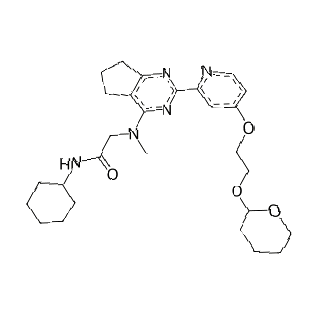 CN(CC(=O)NC1CCCCC1)c1nc(-c2cc(OCCOC3CCCCO3)ccn2)nc2c1CCC2